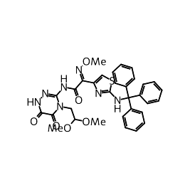 CON=C(C(=O)Nc1n[nH]c(=O)c(=O)n1CC(OC)OC)c1csc(NC(c2ccccc2)(c2ccccc2)c2ccccc2)n1